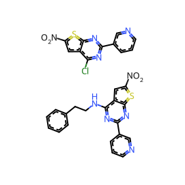 O=[N+]([O-])c1cc2c(Cl)nc(-c3cccnc3)nc2s1.O=[N+]([O-])c1cc2c(NCCc3ccccc3)nc(-c3cccnc3)nc2s1